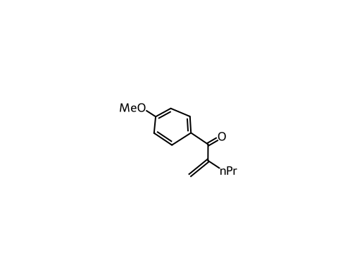 C=C(CCC)C(=O)c1ccc(OC)cc1